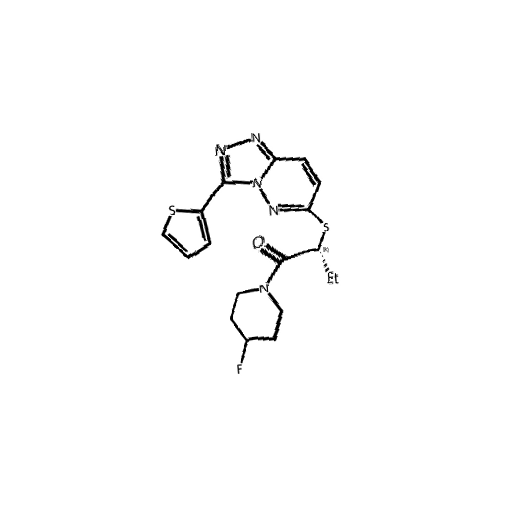 CC[C@@H](Sc1ccc2nnc(-c3cccs3)n2n1)C(=O)N1CCC(F)CC1